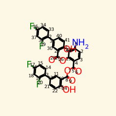 Nc1ccc(C(=O)OC(=O)c2cc(-c3ccc(F)cc3F)ccc2O)c(OC(=O)c2cc(-c3ccc(F)cc3F)ccc2O)c1